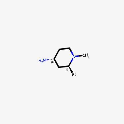 CC[C@H]1C[C@H](N)CCN1C